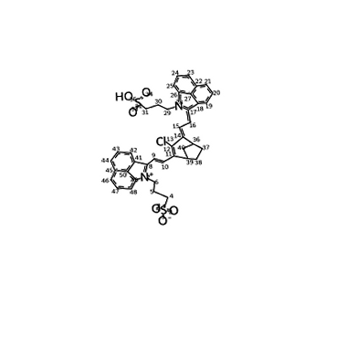 O=S(=O)([O-])CCC[N+]1=C(/C=C/C2=C(Cl)C(=C/C=c3/c4cccc5cccc(c54)n3CCCS(=O)(=O)O)/C3CCC2C3)c2cccc3cccc1c23